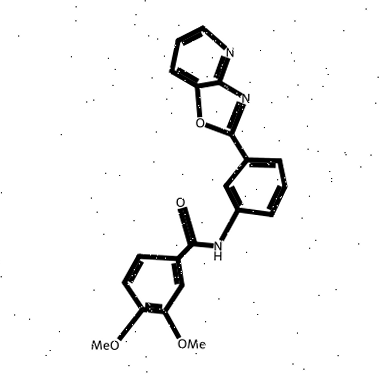 COc1ccc(C(=O)Nc2cccc(-c3nc4ncccc4o3)c2)cc1OC